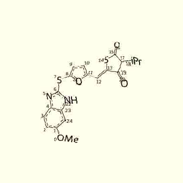 COc1ccc2nc(Sc3ccc(/C=C4\SC(=O)C(C(C)C)C4=O)o3)[nH]c2c1